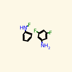 FNc1ccccc1.Nc1cc(F)cc(F)c1